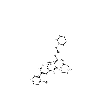 N#C/C(COCC1CCCCC1)=C1/Nc2ccc(-c3ccccc3O)cc2N=C1N1CCNCC1